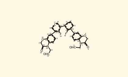 O=CCN1C(=O)COc2cc(-c3cccc(-c4cccc(-c5ccc6c(c5)OCC(=O)N6CC=O)c4F)c3F)ccc21